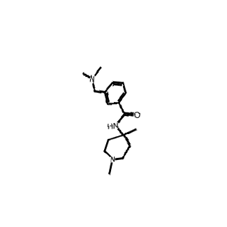 CN(C)Cc1cccc(C(=O)NC2(C)CCN(C)CC2)c1